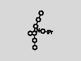 CC(C)c1ccc(-n2c3cc(-c4ccc(-c5ccccc5)cc4)ccc3c3c4ccccc4c(-c4ccc(-c5ccccc5)cc4)cc32)cc1